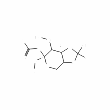 COC1[C@H]2OC(C)(C)OC2CO[C@]1(OC)OC(C)=O